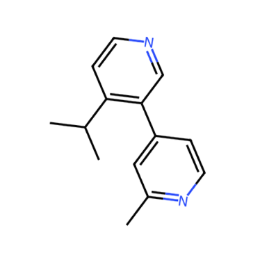 Cc1cc(-c2cnccc2C(C)C)ccn1